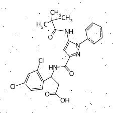 CC(C)(C)C(=O)Nc1cc(C(=O)NC(CC(=O)O)c2ccc(Cl)cc2Cl)nn1-c1ccccc1